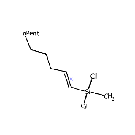 CCCCCCCC/C=C/[Si](C)(Cl)Cl